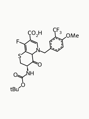 COc1ccc(CN2C=C(C(=O)O)C(F)=C3SC[C@H](NC(=O)OC(C)(C)C)C(=O)C32)cc1C(F)(F)F